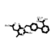 CCCCc1nc(C)c(CC(=O)OCC(C)C)c(=O)n1Cc1ccc(-c2ccccc2C(=N)NC(=O)O)cc1